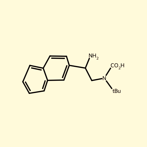 CC(C)(C)N(CC(N)c1ccc2ccccc2c1)C(=O)O